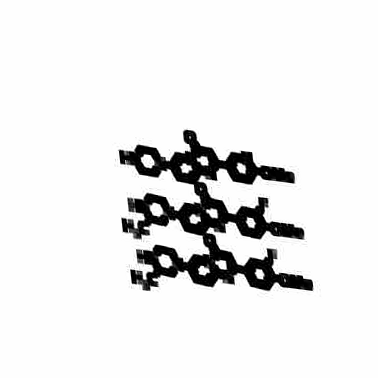 COc1ccc(-c2cc(=O)n3cc(N4CCNCC4)ccc3n2)cn1.COc1ccc(-c2cc(=O)n3cc(N4CCN[C@@H](C)C4)ccc3n2)cc1F.COc1ccc(-c2cc(=O)n3cc(N4CCN[C@H](C)C4)ccc3n2)cc1F